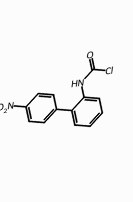 O=C(Cl)Nc1ccccc1-c1ccc([N+](=O)[O-])cc1